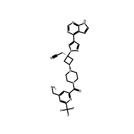 N#CC[C@]1(n2cc(-c3ncnc4[nH]ccc34)cn2)C[C@@H](N2CCN(C(=O)c3cc(CN)cc(C(F)(F)F)n3)CC2)C1